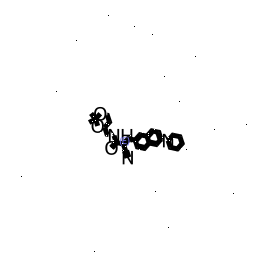 CC1(C)OCCC(CNC(=O)/C(C#N)=C/c2ccc3cc(N4CCCCC4)ccc3c2)O1